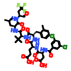 Cc1ccccc1C[C@H](NC(=O)[C@H](CCC(=O)O)NC(=O)[C@H](CC(=O)O)NC(=O)c1cc(Cl)cc(Cl)c1)C(=O)N[C@H](C(=O)N[C@@H](CC(C)C)C(=O)N[C@H](C=O)CC(F)(F)F)C(C)(C)C